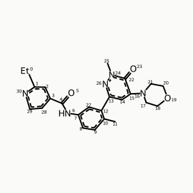 CCc1cc(C(=O)Nc2ccc(C)c(-c3cc(N4CCOCC4)c(=O)n(C)n3)c2)ccn1